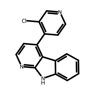 Clc1cnccc1-c1ccnc2[nH]c3ccccc3c12